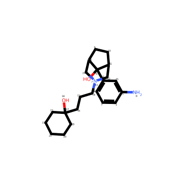 Nc1cccc(C2(O)C3CCC2CN(CCCC2(O)CCCCC2)C3)c1